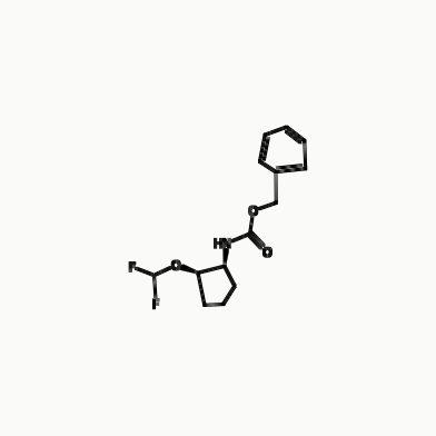 O=C(N[C@H]1CCC[C@H]1OC(F)F)OCc1ccccc1